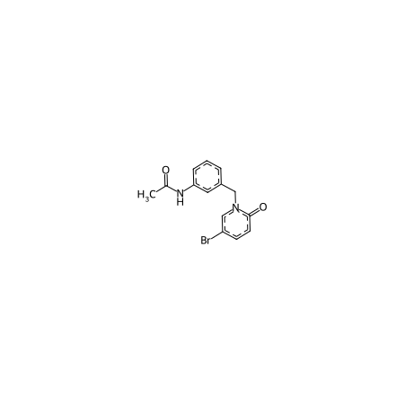 CC(=O)Nc1cccc(Cn2cc(Br)ccc2=O)c1